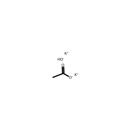 CC(=O)[O-].[K+].[K+].[OH-]